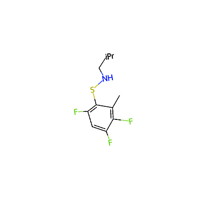 Cc1c(F)c(F)cc(F)c1SNCC(C)C